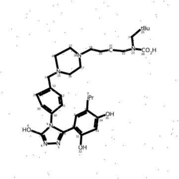 CC(C)c1cc(-c2nnc(O)n2-c2ccc(CN3CCN(CCCCN(CC(C)(C)C)C(=O)O)CC3)cc2)c(O)cc1O